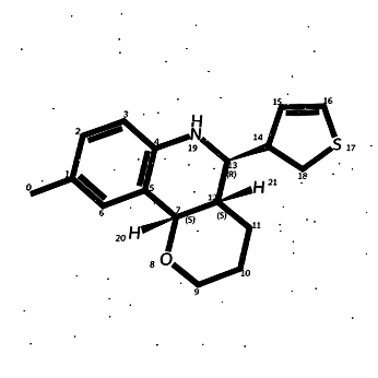 Cc1ccc2c(c1)[C@H]1OCCC[C@H]1[C@H](C1C=CSC1)N2